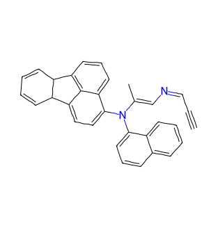 C#C/C=N\C=C(/C)N(c1cccc2ccccc12)c1ccc2c3c(cccc13)C1C=CC=CC21